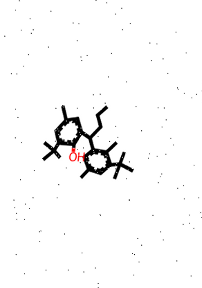 CCCC(c1cc(C)cc(C(C)(C)C)c1C)c1cc(C)cc(C(C)(C)C)c1O